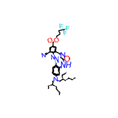 CCCCC(CC)CN(CC(CC)CCCC)c1ccc(N=Nc2c(C#N)cc(C(=O)OCCCC(F)(F)F)cc2C#N)c(NC(C)=O)c1